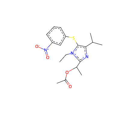 CCn1c(C(C)OC(C)=O)nc(C(C)C)c1Sc1cccc([N+](=O)[O-])c1